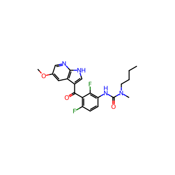 CCCCN(C)C(=O)Nc1ccc(F)c(C(=O)c2c[nH]c3ncc(OC)cc23)c1F